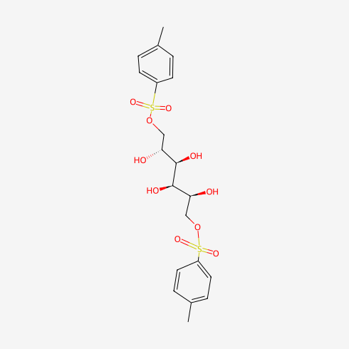 Cc1ccc(S(=O)(=O)OC[C@@H](O)[C@@H](O)[C@H](O)[C@@H](O)COS(=O)(=O)c2ccc(C)cc2)cc1